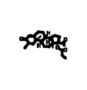 CCC(=O)O[C@]1(C(C)=O)CC[C@H]2[C@@H]3CCC4=CC(=O)C(C)C[C@]4(C)[C@H]3CC[C@@]21C